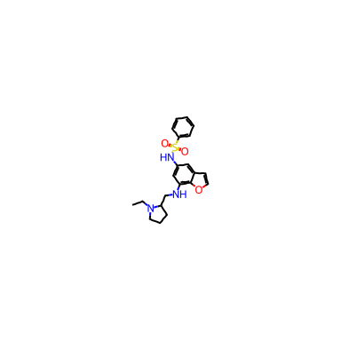 CCN1CCCC1CNc1cc(NS(=O)(=O)c2ccccc2)cc2ccoc12